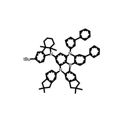 CC1(C)Cc2ccc(N3c4cc5c(cc4B4c6ccc(-c7ccccc7)cc6N(c6cccc(-c7ccccc7)c6)c6cc(N7c8ccc(C(C)(C)C)cc8C8(C)CCCCC78C)cc3c64)CC(C)(C)C5)cc2C1